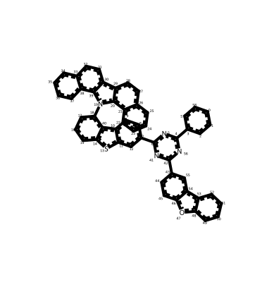 c1ccc(-c2nc(-c3ccc4c(c3)sc3cccc(-n5c6c7ccccc7ccc6c6ccc7ccccc7c65)c34)nc(-c3ccc4oc5ccccc5c4c3)n2)cc1